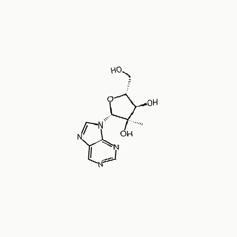 C[C@@]1(O)[C@H](O)[C@@H](CO)O[C@H]1n1cnc2cncnc21